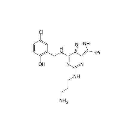 CC(C)c1[nH]nc2c(NCc3cc(Cl)ccc3O)nc(NCCCN)nc12